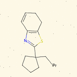 CC(C)CC1(c2nc3c(s2)CCC=C3)CCCC1